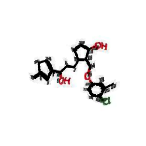 CC1=CC(C(O)CC[C@H]2CC[C@@H](O)C2COc2ccc(Cl)c(C)c2)=CC1